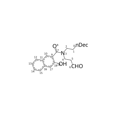 CCCCCCCCCCCCN(CCC=O)C(=O)c1cc2ccccc2cc1O